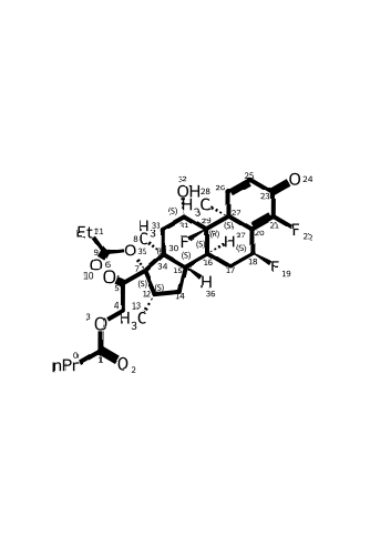 CCCC(=O)OCC(=O)[C@]1(OC(=O)CC)[C@@H](C)C[C@H]2[C@@H]3C[C@H](F)C4=C(F)C(=O)C=C[C@]4(C)[C@@]3(F)[C@@H](O)C[C@@]21C